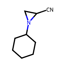 N#CC1CN1C1CCCCC1